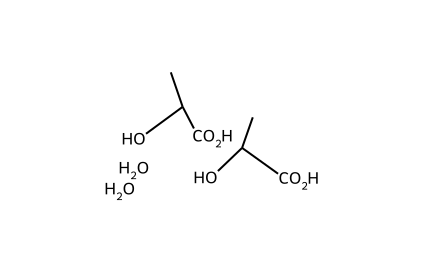 CC(O)C(=O)O.CC(O)C(=O)O.O.O